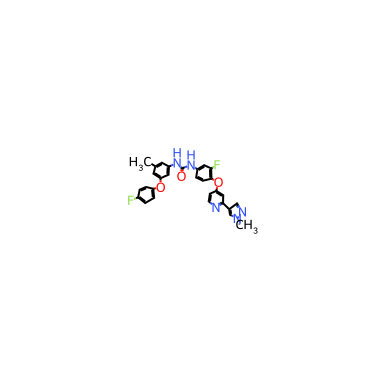 Cc1cc(NC(=O)Nc2ccc(Oc3ccnc(-c4cnn(C)c4)c3)c(F)c2)cc(Oc2ccc(F)cc2)c1